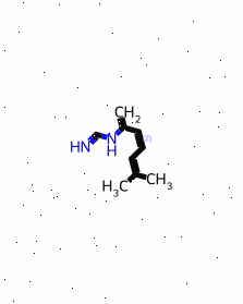 C=C(/C=C\C=C(C)C)NC=N